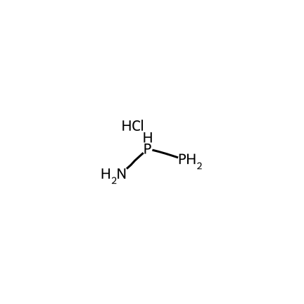 Cl.NPP